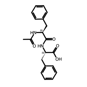 CC(=O)N[C@@H](Cc1ccccc1)C(=O)N[C@@H](Cc1ccccc1)C(=O)O